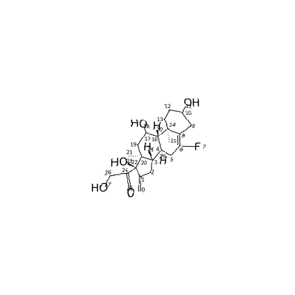 C=C1C[C@H]2[C@@H]3CC(F)=C4CC(O)CC[C@]4(C)[C@H]3C(O)C[C@]2(C)[C@@]1(O)C(=O)CO